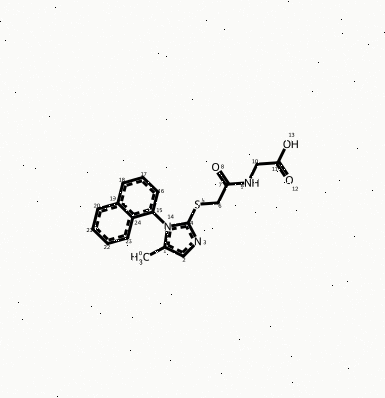 Cc1cnc(SCC(=O)NCC(=O)O)n1-c1cccc2ccccc12